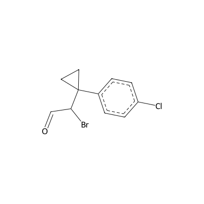 O=CC(Br)C1(c2ccc(Cl)cc2)CC1